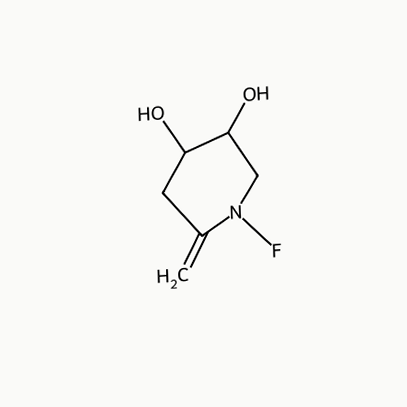 C=C1CC(O)C(O)CN1F